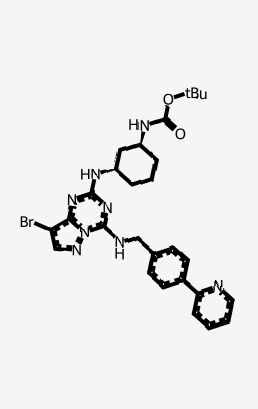 CC(C)(C)OC(=O)N[C@H]1CCC[C@@H](Nc2nc(NCc3ccc(-c4ccccn4)cc3)n3ncc(Br)c3n2)C1